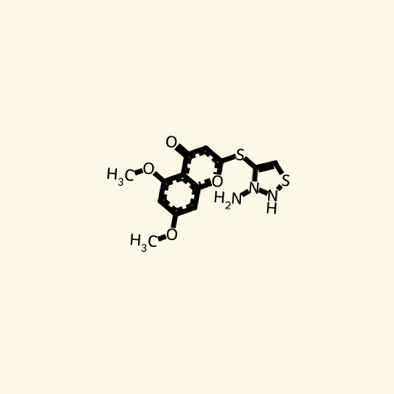 COc1cc(OC)c2c(=O)cc(SC3=CSNN3N)oc2c1